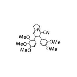 COc1ccc(C2C(c3ccc(OC)c(OC)c3OC)C=C3CCCN3C2C#N)cc1OC